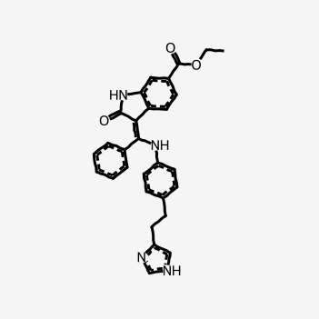 CCOC(=O)c1ccc2c(c1)NC(=O)C2=C(Nc1ccc(CCc2c[nH]cn2)cc1)c1ccccc1